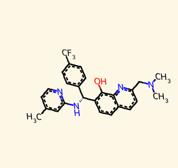 Cc1ccnc(N[C@H](c2ccc(C(F)(F)F)cc2)c2ccc3ccc(CN(C)C)nc3c2O)c1